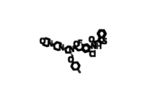 C[C@H]1CC[C@H](OC[C@@H]2C[C@H](N3CCC(N4CCOCC4)CC3)CN2C(=O)Cc2cc(Cl)c(NC(=O)c3csc4ccccc34)cc2F)CC1